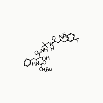 CC(C)(CNC(=O)CC(N)Cc1cc(F)ccc1F)CNC(=O)C(O)C(Cc1ccccc1)NC(=O)OC(C)(C)C